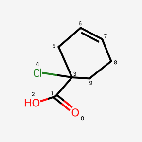 O=C(O)C1(Cl)CC=CCC1